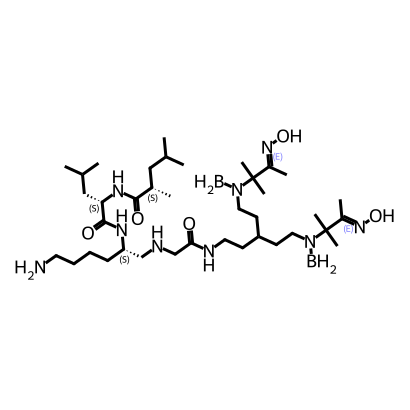 BN(CCC(CCNC(=O)CNC[C@H](CCCCN)NC(=O)[C@H](CC(C)C)NC(=O)[C@@H](C)CC(C)C)CCN(B)C(C)(C)/C(C)=N/O)C(C)(C)/C(C)=N/O